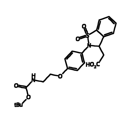 CC(C)(C)OC(=O)NCCOc1ccc(N2C(CC(=O)O)c3ccccc3S2(=O)=O)cc1